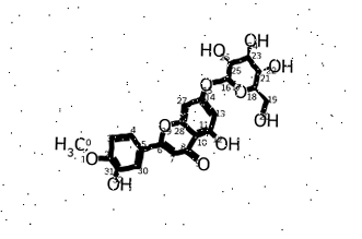 COc1ccc(-c2cc(=O)c3c(O)cc(OC4O[C@H](CO)[C@@H](O)[C@H](O)[C@H]4O)cc3o2)cc1O